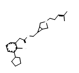 CC(C)=CCCN1CC2C(COC(=O)Cc3cccc(C4CCCC4)c3O)C2C1